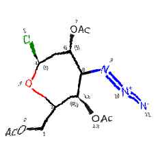 CC(=O)OCC1O[C@@H](Cl)[C@@H](OC(C)=O)C(N=[N+]=[N-])[C@H]1OC(C)=O